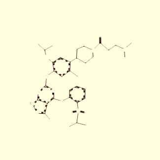 Cc1cc(Nc2nc(Nc3ccccc3S(=O)(=O)C(C)C)c3c(C)n[nH]c3n2)c(OC(C)C)cc1C1CCN(C(=O)CCN(C)C)CC1